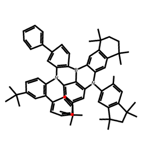 Cc1cc2c(cc1N1c3cc4c(cc3B3c5ccc(-c6ccccc6)cc5N(c5ccc(C(C)(C)C)cc5-c5ccccc5)c5cc(C(C)(C)C)cc1c53)C(C)(C)CCC4(C)C)C(C)(C)CC2(C)C